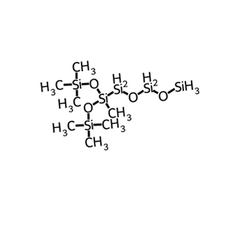 C[Si](C)(C)O[Si](C)(O[Si](C)(C)C)[SiH2]O[SiH2]O[SiH3]